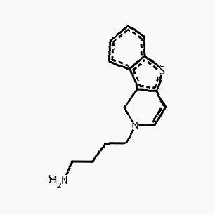 NCCCCN1C=Cc2sc3ccccc3c2C1